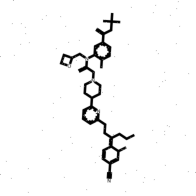 C=C(CC(C)(C)C)c1ccc(C)c(N(CC2CCO2)C(=C)CN2CCC(c3cccc(CC/C(CCC)=C4\C=CC(C#N)=CC4C)n3)CC2)c1